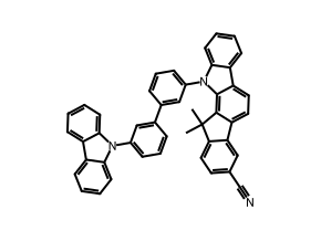 CC1(C)c2ccc(C#N)cc2-c2ccc3c4ccccc4n(-c4cccc(-c5cccc(-n6c7ccccc7c7ccccc76)c5)c4)c3c21